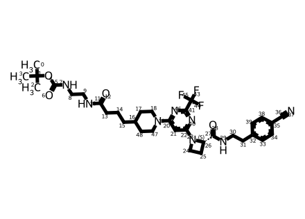 CC(C)(C)OC(=O)NCCNC(=O)CCCC1CCN(c2cc(N3CC[C@H]3C(=O)NCCc3ccc(C#N)cc3)nc(C(F)(F)F)n2)CC1